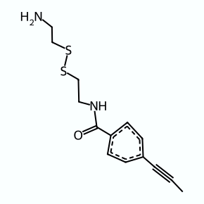 CC#Cc1ccc(C(=O)NCCSSCCN)cc1